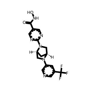 O=C(NO)c1cnc(N2C[C@@H]3C[C@H]2CN3c2cncc(C(F)(F)F)c2)nc1